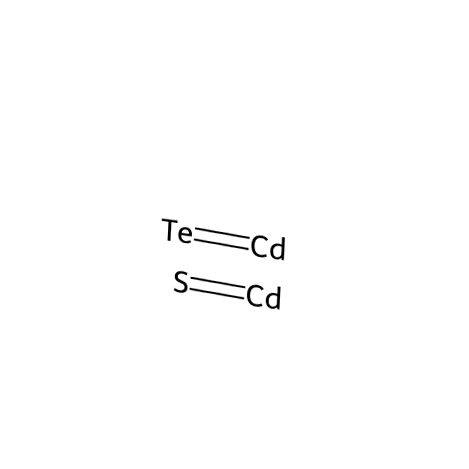 [Cd]=[Te].[S]=[Cd]